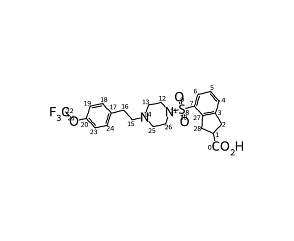 O=C(O)C1Cc2cccc(S(=O)(=O)N3CCN(CCc4ccc(OC(F)(F)F)cc4)CC3)c2C1